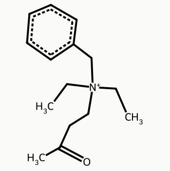 CC[N+](CC)(CCC(C)=O)Cc1ccccc1